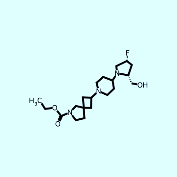 CCOC(=O)N1CCC2(CC(N3CCC(N4C[C@H](F)C[C@@H]4CO)CC3)C2)C1